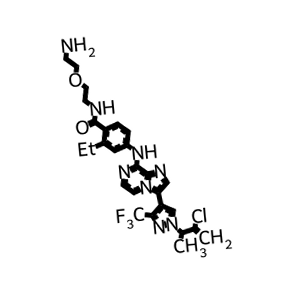 C=C(Cl)C(C)n1cc(-c2cnc3c(Nc4ccc(C(=O)NCCOCCN)c(CC)c4)nccn23)c(C(F)(F)F)n1